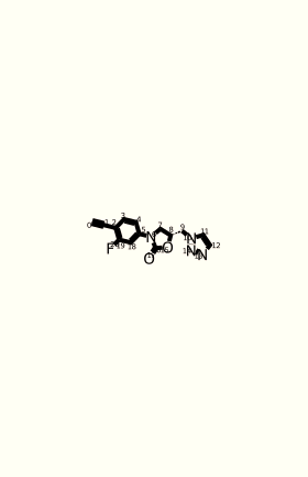 C#Cc1ccc(N2C[C@H](Cn3ccnn3)OC2=O)cc1F